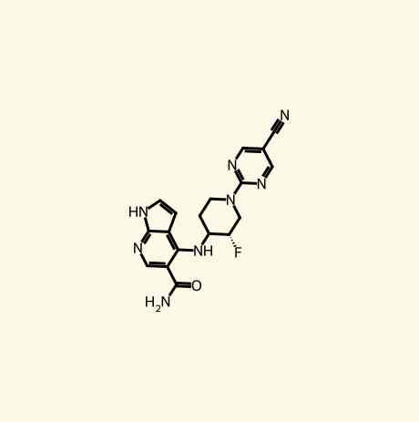 N#Cc1cnc(N2CCC(Nc3c(C(N)=O)cnc4[nH]ccc34)[C@@H](F)C2)nc1